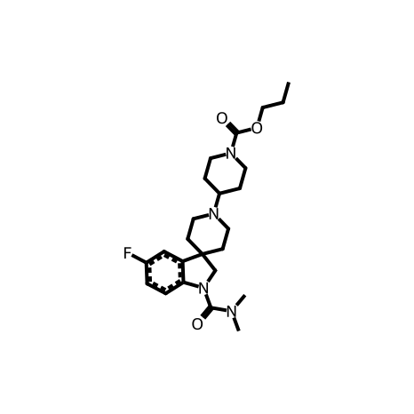 CCCOC(=O)N1CCC(N2CCC3(CC2)CN(C(=O)N(C)C)c2ccc(F)cc23)CC1